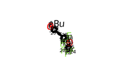 CCCCOc1ccc(C#Cc2cc(F)c(C(F)(F)Oc3cc(F)c(F)c(F)c3)c(F)c2)cc1